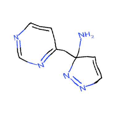 NC1(c2ccncn2)C=CN=N1